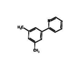 Cc1cc(C)cc(-c2ccccn2)c1